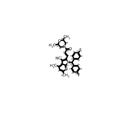 Cc1cc(C)c2c(C#N)c(C=CC(=O)N3CC(C)OC(C)C3)n(C(c3ccc(F)cc3)c3ccc(F)cc3)c2n1